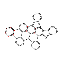 c1ccc(-c2ccccc2-c2c(-c3ccccc3)cccc2N(c2ccc3c(c2)sc2ccccc23)c2ccccc2-c2cccc3c2sc2ccccc23)cc1